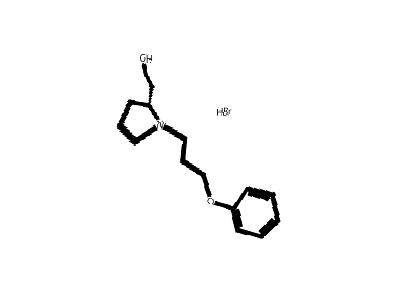 Br.OC[C@@H]1CCCN1CCCOc1ccccc1